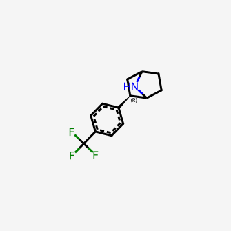 FC(F)(F)c1ccc([C@H]2CC3CCC2N3)cc1